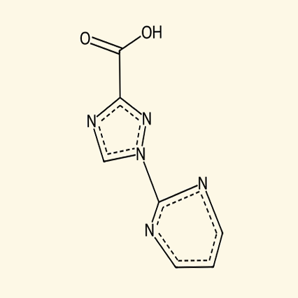 O=C(O)c1ncn(-c2ncccn2)n1